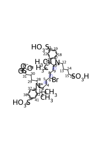 CC1(C)C(/C=C/C(Br)=C/C=C2/N(CCCCS(=O)(=O)O)c3ccc(S(=O)(=O)O)cc3C2(C)C)=[N+](CCCCS(=O)(=O)[O-])c2ccc(S(=O)(=O)O)cc21